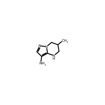 CC1CNc2c(N)cnn2C1